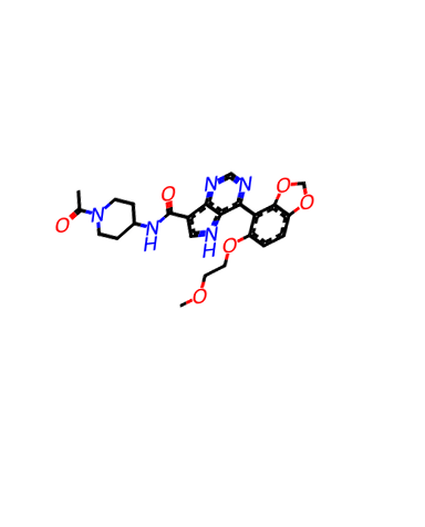 COCCOc1ccc2c(c1-c1ncnc3c(C(=O)NC4CCN(C(C)=O)CC4)c[nH]c13)OCO2